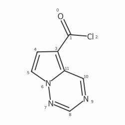 O=C(Cl)c1ccn2ncncc12